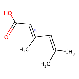 CC(C)=C/C(C)=C/C(=O)O